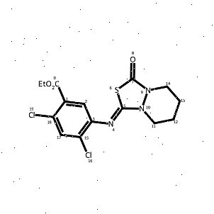 CCOC(=O)c1cc(N=c2sc(=O)n3n2CCCC3)c(Cl)cc1Cl